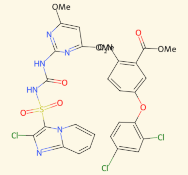 COC(=O)c1cc(Oc2ccc(Cl)cc2Cl)ccc1[N+](=O)[O-].COc1cc(OC)nc(NC(=O)NS(=O)(=O)c2c(Cl)nc3ccccn23)n1